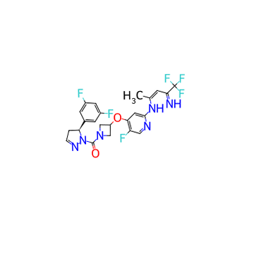 C/C(=C/C(=N)C(F)(F)F)Nc1cc(OC2CN(C(=O)N3N=CC[C@H]3c3cc(F)cc(F)c3)C2)c(F)cn1